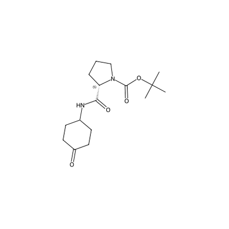 CC(C)(C)OC(=O)N1CCC[C@H]1C(=O)NC1CCC(=O)CC1